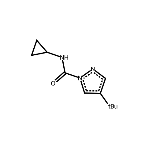 CC(C)(C)c1cnn(C(=O)NC2CC2)c1